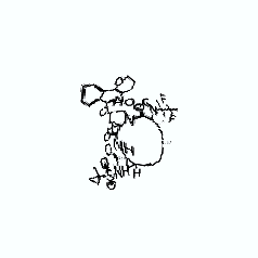 C[C@@H]1CCC=C[C@@H]2C[C@@]2(C(=O)NS(=O)(=O)C2(C)CC2)NC(=O)[C@@H]2C[C@@H](Oc3nc4c(c5ccccc35)OCCC4)CN2C(=O)[C@@H](N(C(=O)O)C(C)(C)C(C)(F)F)[C@H](C)C1